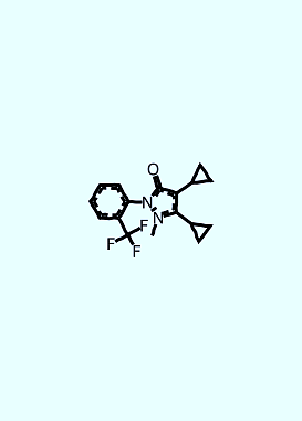 Cn1c(C2CC2)c(C2CC2)c(=O)n1-c1ccccc1C(F)(F)F